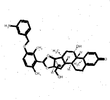 Cc1ccc(OCc2cccc(N)c2)c(C)c1[C@@H]1O[C@@H]2C[C@H]3[C@@H]4CCC5=CC(=O)C=C[C@]5(C)[C@H]4[C@@H](O)C[C@]3(C)[C@]2(C(=O)CO)O1